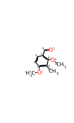 COc1ccc([C]=O)c(OC)c1C